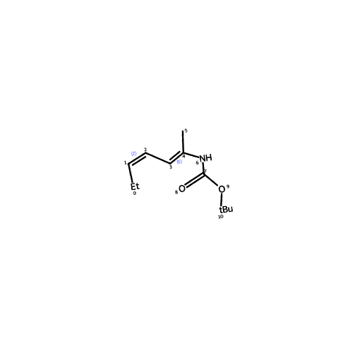 CC/C=C\C=C(/C)NC(=O)OC(C)(C)C